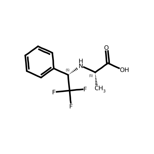 C[C@H](N[C@@H](c1ccccc1)C(F)(F)F)C(=O)O